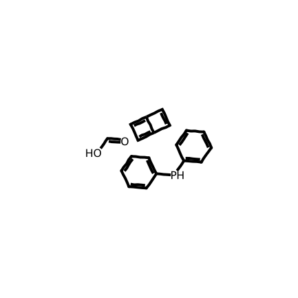 O=CO.c1cc2ccc1-2.c1ccc(Pc2ccccc2)cc1